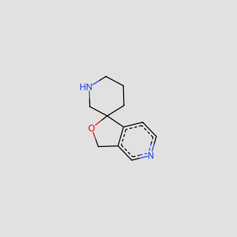 c1cc2c(cn1)COC21CCCNC1